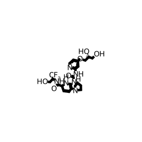 O=C(N[C@H](CO)C(F)(F)F)C1C=CC2=C(N1)N(C(=O)Nc1cc(OC[C@H](O)CO)ccn1)[C@H]1CCN2C1